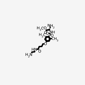 COC(=O)[C@@H](CN)NS(=O)(=O)c1c(C)cc(OCCCC(=O)NCCN)cc1C